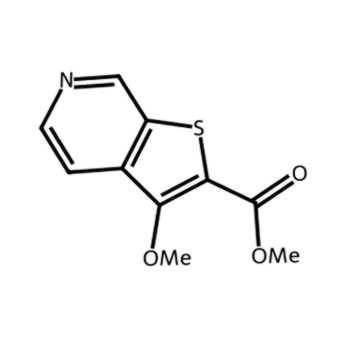 COC(=O)c1sc2cnccc2c1OC